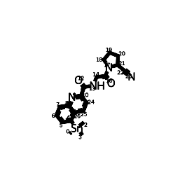 [CH3][Sn]([CH3])([CH3])[c]1cccc2nc(C(=O)NCC(=O)N3CCCC3C#N)ccc12